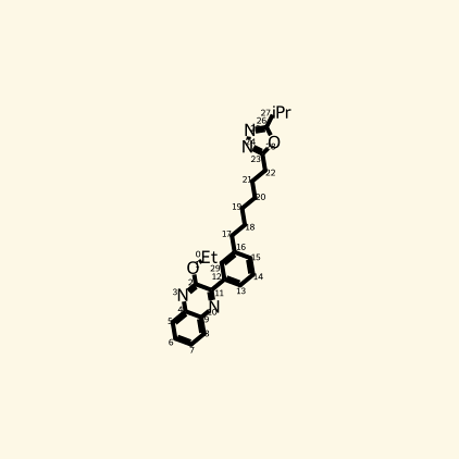 CCOc1nc2ccccc2nc1-c1cccc(CCCCCCc2nnc(C(C)C)o2)c1